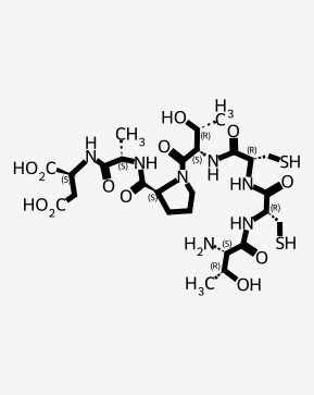 C[C@H](NC(=O)[C@@H]1CCCN1C(=O)[C@@H](NC(=O)[C@H](CS)NC(=O)[C@H](CS)NC(=O)[C@@H](N)[C@@H](C)O)[C@@H](C)O)C(=O)N[C@@H](CC(=O)O)C(=O)O